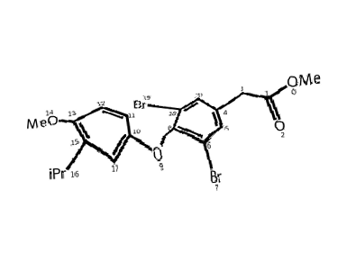 COC(=O)Cc1cc(Br)c(Oc2ccc(OC)c(C(C)C)c2)c(Br)c1